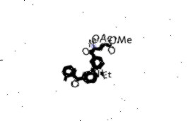 CCn1c2ccc(C(=O)/C(CCC(=O)OC)=N/OC(C)=O)cc2c2cc(C(=O)c3ccccc3C)ccc21